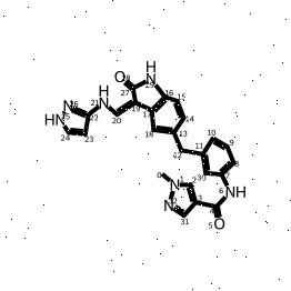 Cn1cc(C(=O)Nc2cccc(Cc3ccc4c(c3)/C(=C/Nc3cc[nH]n3)C(=O)N4)c2)cn1